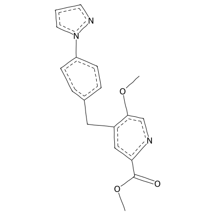 COC(=O)c1cc(Cc2ccc(-n3cccn3)cc2)c(OC)cn1